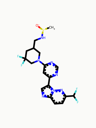 C[S+]([O-])NCC1CN(c2cc(-c3cnc4ccc(C(F)F)nn34)ncn2)CC(F)(F)C1